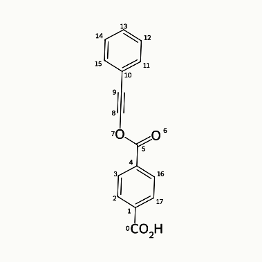 O=C(O)c1ccc(C(=O)OC#Cc2ccccc2)cc1